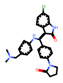 CN(C)Cc1ccc(NC(=C2C(=O)Nc3cc(Cl)ccc32)c2ccc(N3CCCC3=O)cc2)cc1